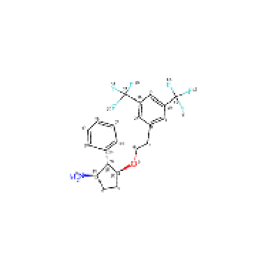 N[C@@H]1CC[C@H](OCCc2cc(C(F)(F)F)cc(C(F)(F)F)c2)[C@H]1c1ccccc1